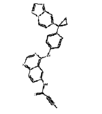 CC#CC(=O)Nc1ccc2ncnc(Nc3ccc(C4(c5ccn6ncnc6c5)CC4)cc3)c2c1